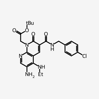 CCNc1c(N)cnc2c1cc(C(=O)NCc1ccc(Cl)cc1)c(=O)n2CC(=O)OC(C)(C)C